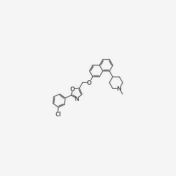 CN1CCC(c2cccc3ccc(OCc4cnc(-c5cccc(Cl)c5)o4)cc23)CC1